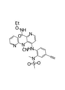 C#Cc1ccc(Nc2ccnc(C(=O)NOCC)c2N(C#N)c2ccccn2)c(N(C)S(C)(=O)=O)c1